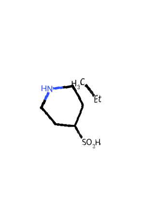 CCC.O=S(=O)(O)C1CCNCC1